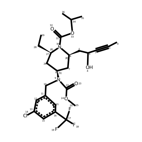 CC#CC(O)C[C@H]1C[C@@H](N(Cc2cc(Cl)cc(C(F)(F)F)c2)C(=O)OC)C[C@@H](CC)N1C(=O)OC(C)C